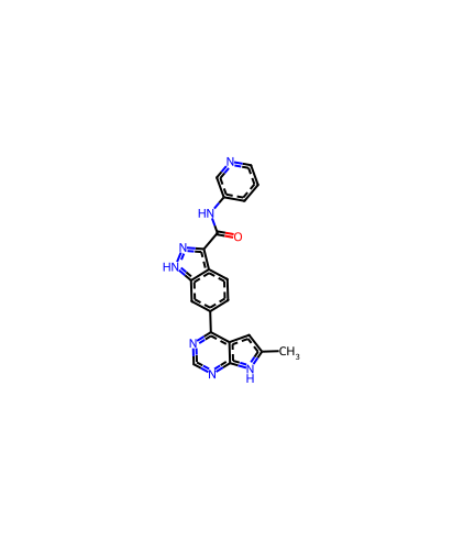 Cc1cc2c(-c3ccc4c(C(=O)Nc5cccnc5)n[nH]c4c3)ncnc2[nH]1